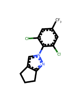 FC(F)(F)c1cc(Cl)c(-n2cc3c(n2)CCC3)c(Cl)c1